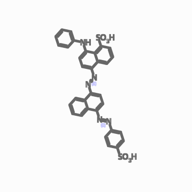 O=S(=O)(O)c1ccc(/N=N/c2ccc(/N=N/c3ccc(Nc4ccccc4)c4c(S(=O)(=O)O)cccc34)c3ccccc23)cc1